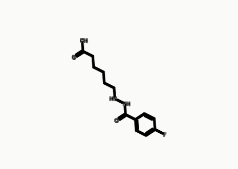 O=C(O)CCCCCNNC(=O)c1ccc(F)cc1